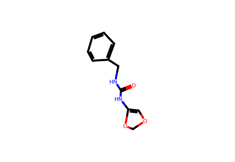 O=C(NCc1ccccc1)NC1=COCO1